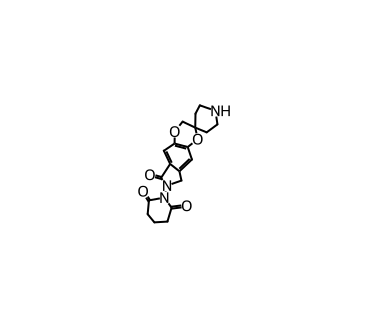 O=C1c2cc3c(cc2CN1N1C(=O)CCCC1=O)OC1(CCNCC1)CO3